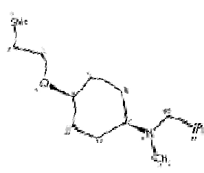 CSCCO[C@H]1CC[C@@H](N(C)CC(C)C)CC1